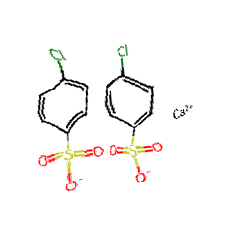 O=S(=O)([O-])c1ccc(Cl)cc1.O=S(=O)([O-])c1ccc(Cl)cc1.[Ca+2]